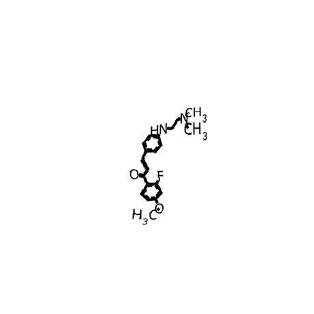 COc1ccc(C(=O)C=Cc2ccc(NCCN(C)C)cc2)c(F)c1